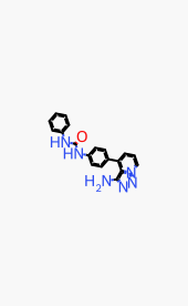 Nc1nnn2cccc(-c3ccc(NC(=O)Nc4ccccc4)cc3)c12